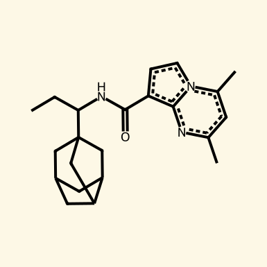 CCC(NC(=O)c1ccn2c(C)cc(C)nc12)C12CC3CC(C1)C(C3)C2